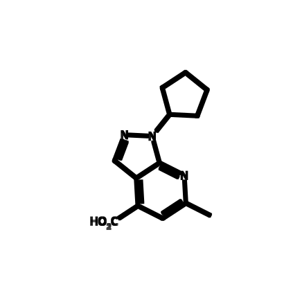 Cc1cc(C(=O)O)c2cnn(C3CCCC3)c2n1